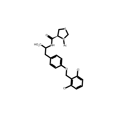 CC(=O)N1CSC[C@@H]1C(=O)NC(Cc1ccc(OCc2c(Cl)cccc2Cl)cc1)C(=O)O